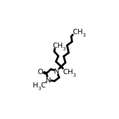 CCCCCCCC(C)(CCCC)N1CCN(C)C(=O)C1